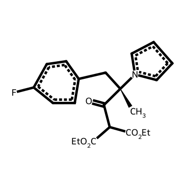 CCOC(=O)C(C(=O)OCC)C(=O)[C@](C)(Cc1ccc(F)cc1)n1cccc1